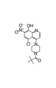 CC(C)(C)C(=O)N1CCN(c2ccnc3c(O)c([N+](=O)[O-])cc(Cl)c23)CC1